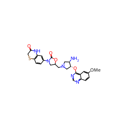 COc1ccc2ncnc(O[C@@H]3CN(CC4CN(c5ccc6c(c5)NC(=O)CS6)C(=O)O4)C[C@H]3N)c2c1